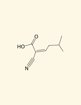 CC(C)C/C=C(/C#N)C(=O)O